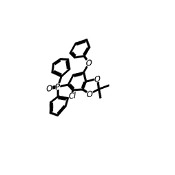 CC1(C)Oc2c(Oc3ccccc3)cc(P(=O)(c3ccccc3)c3ccccc3)c(Cl)c2O1